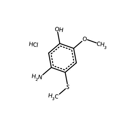 COc1cc(SC)c(N)cc1O.Cl